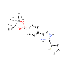 CC1(C)OB(c2ccc(-c3cnc([C@H]4CCCS4)[nH]3)cc2)OC1(C)C